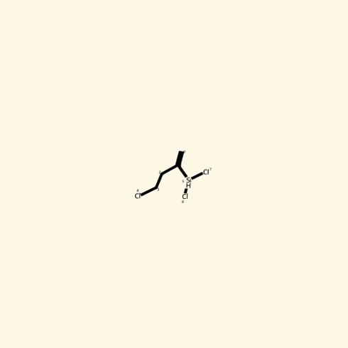 C=C(CCCl)[SiH](Cl)Cl